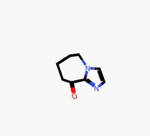 O=C1CCCCn2ccnc21